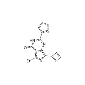 CCc1nc(C2=CC=C2)n2nc(-c3cccs3)[nH]c(=O)c12